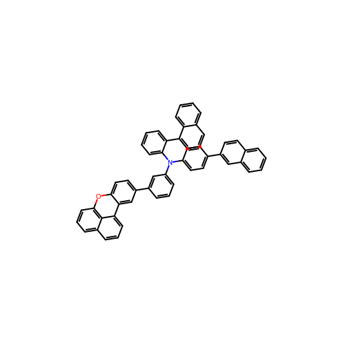 c1cc(-c2ccc3c(c2)-c2cccc4cccc(c24)O3)cc(N(c2ccc(-c3ccc4ccccc4c3)cc2)c2ccccc2-c2cccc3ccccc23)c1